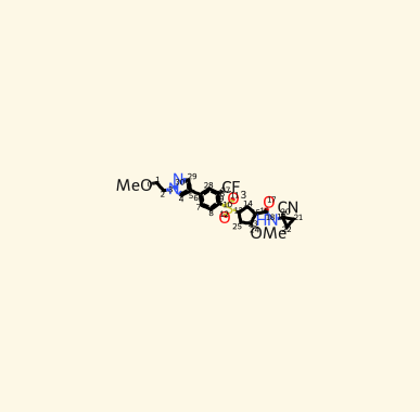 COCCn1cc(-c2ccc(S(=O)(=O)[C@H]3CC(C(=O)NC4(C#N)CC4)[C@@H](OC)C3)c(C(F)(F)F)c2)cn1